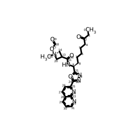 CCC(=O)CCCCC[C@H](NC(=O)C1C[N+](C)(OC=O)C1)c1nnc(-c2ccc3cccnc3n2)o1